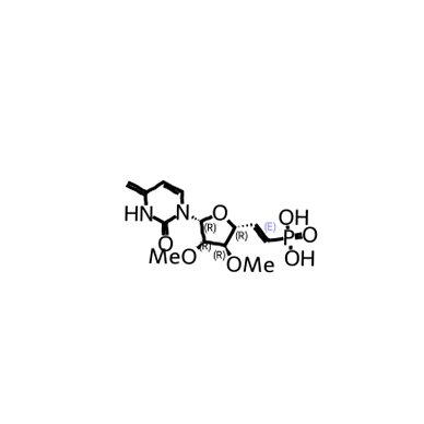 C=C1C=CN([C@@H]2O[C@H](/C=C/P(=O)(O)O)[C@@H](OC)[C@H]2OC)C(=O)N1